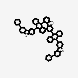 c1ccc(-c2ccc3sc4ccc(-c5c6ccccc6c(-c6ccc7c(c6)oc6cccc(-c8c9ccccc9c(-c9ccc%10sc%11ccc(-c%12ccccc%12)cc%11c%10c9)c9ccccc89)c67)c6ccccc56)cc4c3c2)cc1